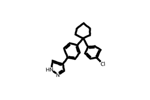 Clc1ccc(C2(c3ccc(-c4cn[nH]c4)cc3)CCCCC2)cc1